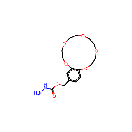 NNC(=O)OCc1ccc2c(c1)OCCOCCOCCOCCO2